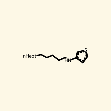 CCCCCCCCCCCCNc1ccsc1